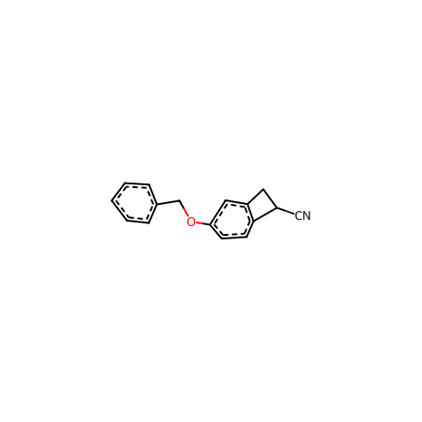 N#CC1Cc2cc(OCc3ccccc3)ccc21